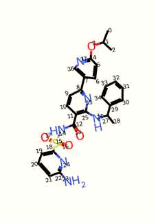 CC(C)Oc1ccc(-c2ccc(C(=O)NS(=O)(=O)c3cccc(N)n3)c(NC(C)c3ccccc3)n2)cn1